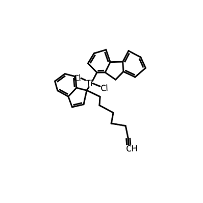 C#CCCCCC[C]1([Ti]([Cl])([Cl])[c]2cccc3c2Cc2ccccc2-3)C=Cc2ccccc21